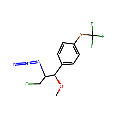 CO[C@H](c1ccc(SC(F)(F)F)cc1)C(CF)N=[N+]=[N-]